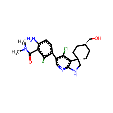 CN(C)C(=O)c1c(N)ccc(-c2cnc3c(c2Cl)[C@]2(CC[C@@H](CO)CC2)CN3)c1F